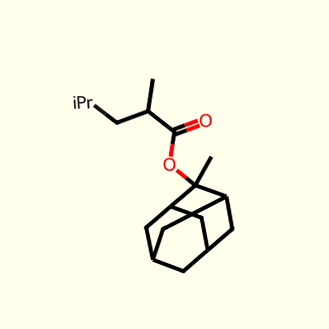 CC(C)CC(C)C(=O)OC1(C)C2CC3CC(C2)CC1C3